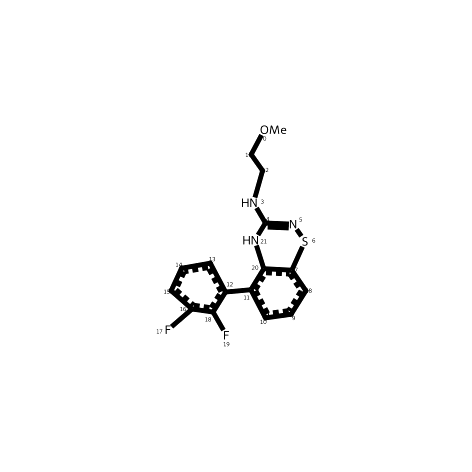 COCCNC1=NSc2cccc(-c3cccc(F)c3F)c2N1